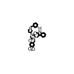 Cc1[nH]c2ccccc2c1C[C@@H]1C(=O)N([C@@H]2CCN(Cc3ccccc3)C2)CC(=O)N1Cc1ccc2c(c1)OCO2